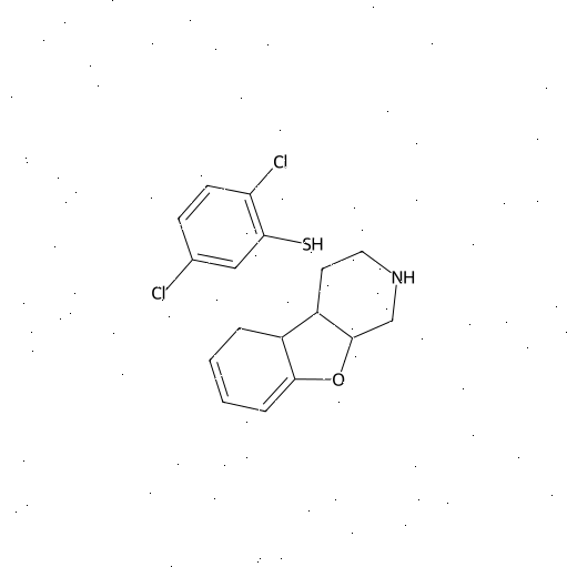 C1=CCC2C(=C1)OC1CNCCC12.Sc1cc(Cl)ccc1Cl